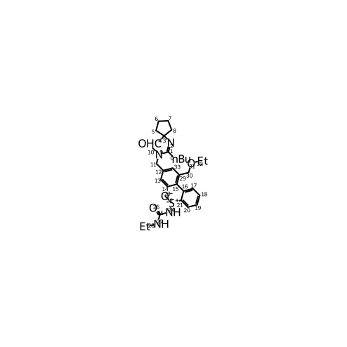 CCCC/C(=N/C1(C=O)CCCC1)N(C)Cc1ccc(-c2ccccc2[S+]([O-])NC(=O)NCC)c(COCC)c1